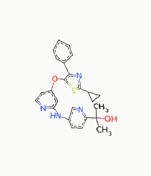 CC(C)(O)c1ccc(Nc2cc(Oc3sc(C4CC4)nc3-c3ccccc3)ccn2)cn1